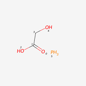 O=C(O)CO.P